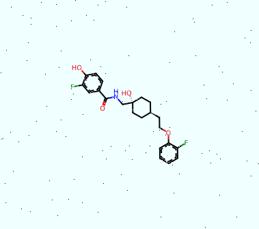 O=C(NC[C@]1(O)CC[C@H](CCOc2ccccc2F)CC1)c1ccc(O)c(F)c1